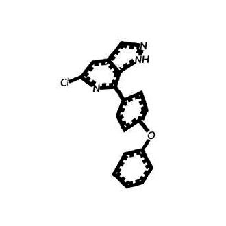 Clc1cc2cn[nH]c2c(-c2ccc(Oc3ccccc3)cc2)n1